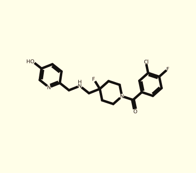 O=C(c1ccc(F)c(Cl)c1)N1CCC(F)(CNCc2ccc(O)cn2)CC1